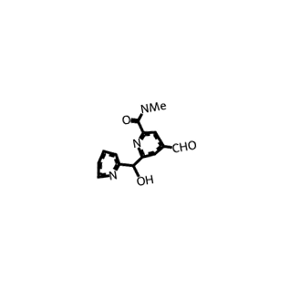 CNC(=O)c1cc(C=O)cc(C(O)c2ccccn2)n1